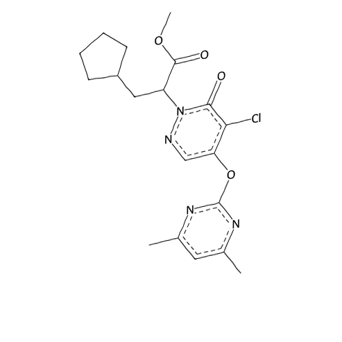 COC(=O)C(CC1CCCC1)n1ncc(Oc2nc(C)cc(C)n2)c(Cl)c1=O